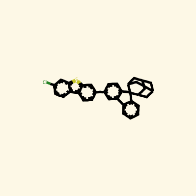 Clc1ccc2c(c1)sc1cc(-c3ccc4c(c3)-c3ccccc3C43C4CC5CC(C4)CC3C5)ccc12